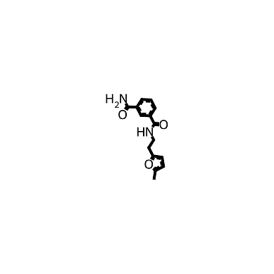 Cc1ccc(CCNC(=O)c2cccc(C(N)=O)c2)o1